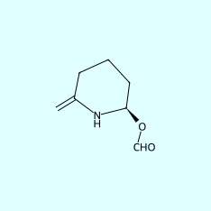 C=C1CCC[C@@H](OC=O)N1